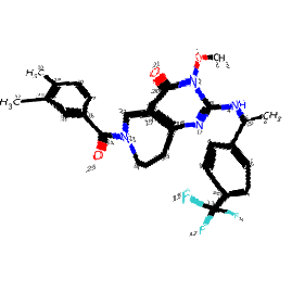 COn1c(N[C@@H](C)c2ccc(C(F)(F)F)cc2)nc2c(c1=O)CN(C(=O)c1ccc(C)c(C)c1)CC2